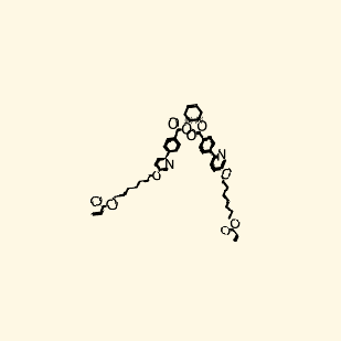 C=CC(=O)OCCCCCCCOc1ccc(-c2ccc(C(=O)O[C@@H]3CCCC[C@H]3OC(=O)c3ccc(-c4ccc(OCCCCCCCOC(=O)C=C)cn4)cc3)cc2)nc1